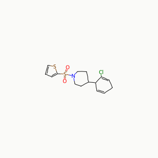 O=S(=O)(c1cccs1)N1CCC(C2C=CCC=C2Cl)CC1